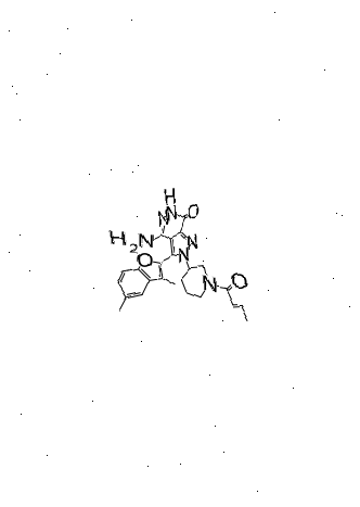 CC=CC(=O)N1CCCC(n2nc3c(=O)[nH]nc(N)c3c2-c2oc3ccc(C)cc3c2C)C1